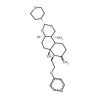 C=C1CCC2[C@]3(C)CO[C@@H](C4CCOCC4)O[C@@H]3CC[C@@]2(C)[C@@H]1CCOc1ccncc1